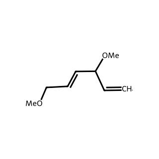 [CH]=CC(C=CCOC)OC